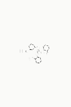 CCc1ccccc1OP(Oc1cccc(C)c1)Oc1ccccc1CC